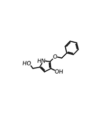 OCc1cc(O)c(OCc2ccccc2)[nH]1